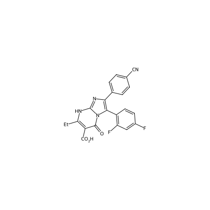 CCc1[nH]c2nc(-c3ccc(C#N)cc3)c(-c3ccc(F)cc3F)n2c(=O)c1C(=O)O